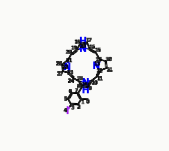 Cc1cc(I)ccc1-c1cc2cc3nc(cc4ccc(cc5nc(cc1[nH]2)C=C5)[nH]4)C=C3